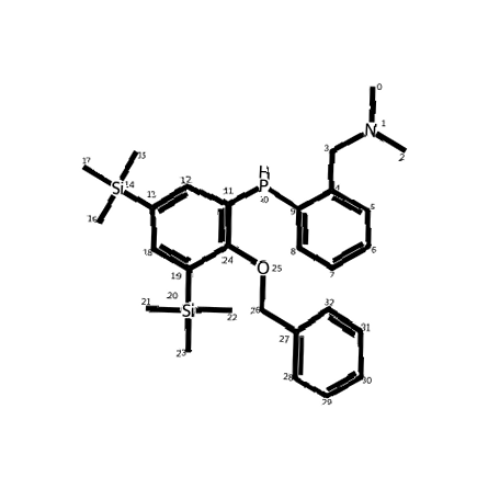 CN(C)Cc1ccccc1Pc1cc([Si](C)(C)C)cc([Si](C)(C)C)c1OCc1ccccc1